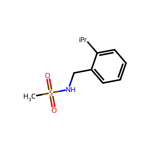 CC(C)c1ccccc1CNS(C)(=O)=O